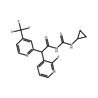 O=C(NC(=S)NC1CC1)C(c1cc(C(F)(F)F)ccn1)c1cccnc1F